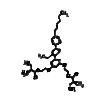 C=C(CO)C(=O)OCCOc1cc(OCCOC(=O)C(=C)CO)cc(-c2ccc(-c3ccc(CCCCCC)cc3)cc2CC)c1